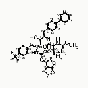 COC(=O)NC(C(=O)NC(Cc1ccc(-c2cccnc2)cc1)C(O)CN(Cc1ccc(C(F)(F)F)cc1)NC(=O)OC1COC2OCCC12)C(C)(C)C